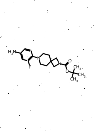 CC(C)(C)OC(=O)N1CC2(CCN(c3ccc(N)cc3F)CC2)C1